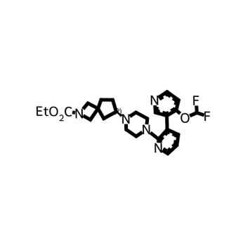 CCOC(=O)N1CC2(CC[C@@H](N3CCN(c4ncccc4-c4cnccc4OC(F)F)CC3)C2)C1